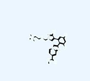 COC(=O)c1ccn2cc(-c3c(F)cc(F)cc3-c3cn(COCC[Si](C)(C)C)nc3Cl)nc2c1